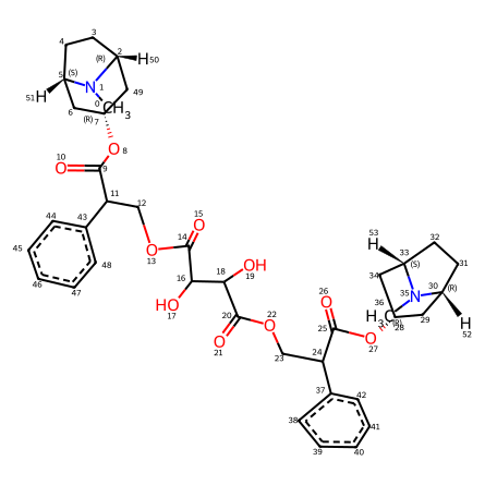 CN1[C@@H]2CC[C@H]1C[C@@H](OC(=O)C(COC(=O)C(O)C(O)C(=O)OCC(C(=O)O[C@H]1C[C@H]3CC[C@@H](C1)N3C)c1ccccc1)c1ccccc1)C2